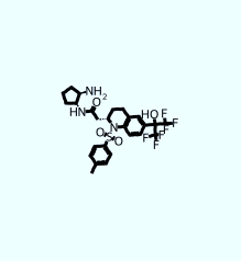 Cc1ccc(S(=O)(=O)N2c3ccc(C(O)(C(F)(F)F)C(F)(F)F)cc3CC[C@H]2CC(=O)N[C@@H]2CCC[C@H]2N)cc1